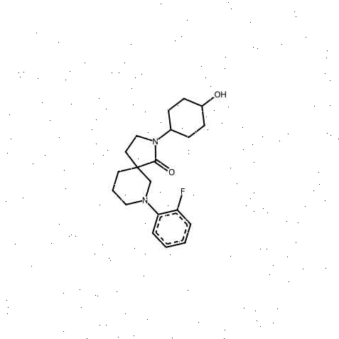 O=C1N(C2CCC(O)CC2)CCC12CCCN(c1ccccc1F)C2